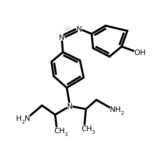 CC(CN)N(c1ccc(/N=N\c2ccc(O)cc2)cc1)C(C)CN